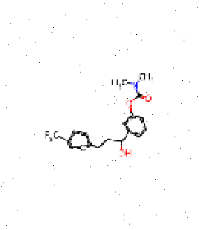 CN(C)C(=O)Oc1cccc(C(O)CCc2ccc(C(F)(F)F)cc2)c1